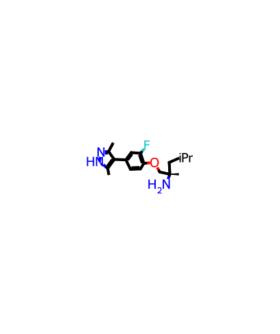 Cc1n[nH]c(C)c1-c1ccc(OC[C@@](C)(N)CC(C)C)c(F)c1